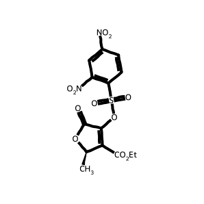 CCOC(=O)C1=C(OS(=O)(=O)c2ccc([N+](=O)[O-])cc2[N+](=O)[O-])C(=O)O[C@@H]1C